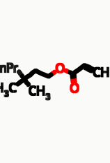 C=CC(=O)OCCC(C)(C)CCC